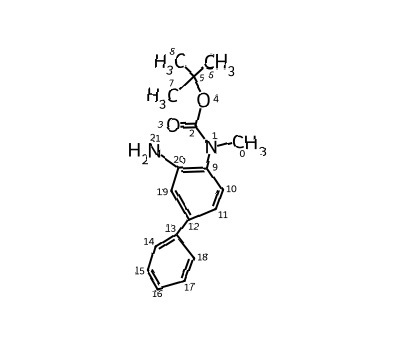 CN(C(=O)OC(C)(C)C)c1ccc(-c2ccccc2)cc1N